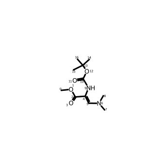 COC(=O)C(=CN(C)C)NC(=O)OC(C)(C)C